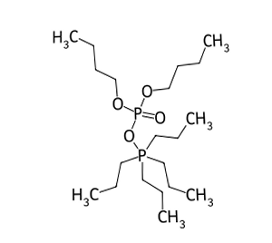 CCCCOP(=O)(OCCCC)OP(CCC)(CCC)(CCC)CCC